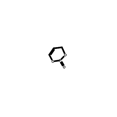 O=[P]1OC=CCO1